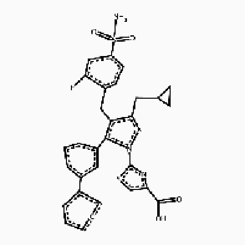 NS(=O)(=O)c1ccc(Cc2c(CC3CC3)nn(-c3nc(C(=O)O)cs3)c2-c2cccc(-c3ccccc3)c2)c(F)c1